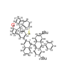 CC(C)(C)c1ccc2c(-c3cc(-c4ccc5c6c4sc4cccc(c46)C54c5ccccc5Oc5ccccc54)cc4ccccc34)c3ccc(C(C)(C)C)cc3c(-c3ccccc3)c2c1